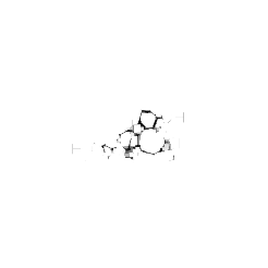 C=CCN1CC[C@@H]2c3c4ccc(O)c3OC(C)C(=O)CC[C@]2(OC)[C@@H]1C4